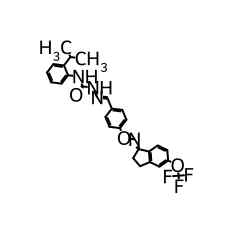 CC(C)c1ccccc1NC(=O)N/N=C/c1ccc(O/N=C2\CCc3cc(OC(F)(F)F)ccc32)cc1